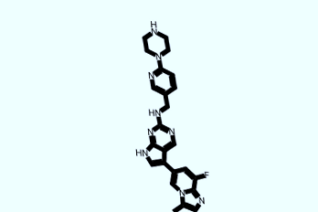 Cc1cnc2c(F)cc(-c3c[nH]c4nc(NCc5ccc(N6CCNCC6)nc5)ncc34)cn12